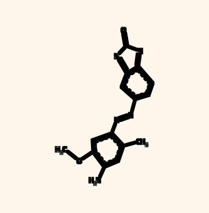 COc1cc(N=Nc2ccc3c(c2)=NC(=O)N=3)c(C)cc1N